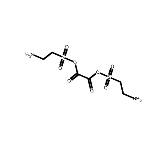 NCCS(=O)(=O)OC(=O)C(=O)OS(=O)(=O)CCN